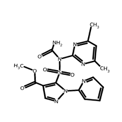 COC(=O)c1cnn(-c2ccccn2)c1S(=O)(=O)N(C(N)=O)c1nc(C)cc(C)n1